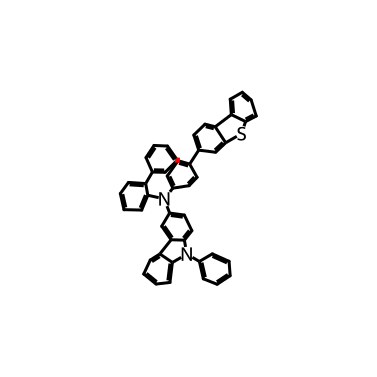 c1ccc(-c2ccccc2N(c2ccc(-c3ccc4c(c3)sc3ccccc34)cc2)c2ccc3c(c2)c2ccccc2n3-c2ccccc2)cc1